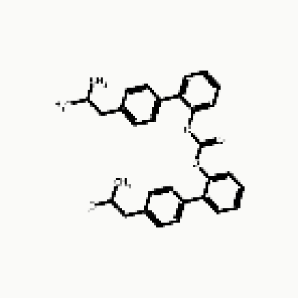 CC(C)Cc1ccc(-c2ccccc2OC(=O)Oc2ccccc2-c2ccc(CC(C)C)cc2)cc1